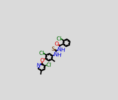 Cc1cnc(Oc2cc(C)c(NC(=S)NC(=O)c3ccccc3Cl)cc2Cl)c(Cl)c1